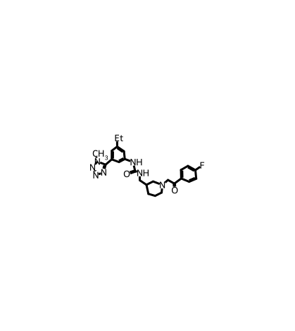 CCc1cc(NC(=O)NCC2CCCN(CC(=O)c3ccc(F)cc3)C2)cc(-c2nnnn2C)c1